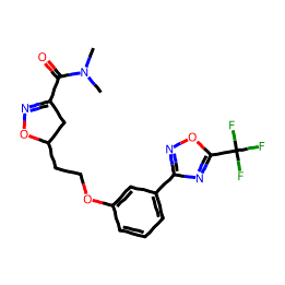 CN(C)C(=O)C1=NOC(CCOc2cccc(-c3noc(C(F)(F)F)n3)c2)C1